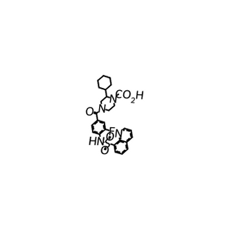 O=C(c1ccc(NS(=O)(=O)c2cccc3cccnc23)c(F)c1)N1CCN(C(=O)O)C(C2CCCCC2)C1